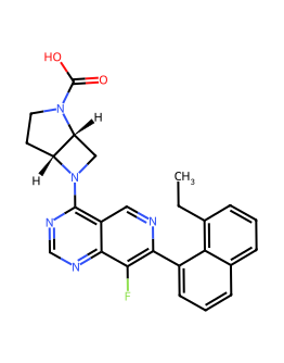 CCc1cccc2cccc(-c3ncc4c(N5C[C@@H]6[C@H]5CCN6C(=O)O)ncnc4c3F)c12